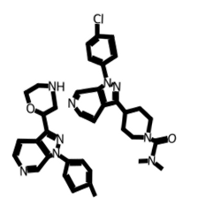 CN(C)C(=O)N1CCC(c2nn(-c3ccc(Cl)cc3)c3cnccc23)CC1.Cc1ccc(-n2nc(C3CNCCO3)c3ccncc32)cc1